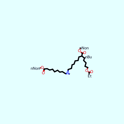 CCCCCCCCCOC(=O)CCCCCCCCN(C)CCCCCCCC(C(=O)OCCCCCCCCC)C(CCCC)CCCCOC(=O)CC